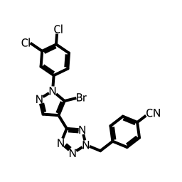 N#Cc1ccc(Cn2nnc(-c3cnn(-c4ccc(Cl)c(Cl)c4)c3Br)n2)cc1